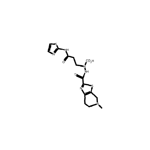 CN1CCc2nc(C(=O)NN(CCC(=O)Nc3nccs3)C(=O)O)sc2C1